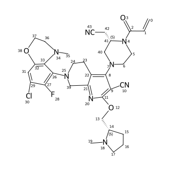 C=CC(=O)N1CCN(c2c(C#N)c(OC[C@@H]3CCCN3C)nc3c2CCN(c2c(F)c(Cl)cc4c2N(C)CCO4)C3)C[C@@H]1CC#N